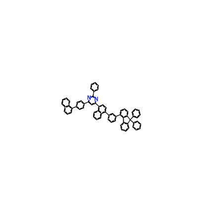 c1ccc(-c2nc(-c3ccc(-c4cccc5ccccc45)cc3)cc(-c3ccc(-c4cccc(-c5cccc6c5-c5ccccc5C6(c5ccccc5)c5ccccc5)c4)c4ccccc34)n2)cc1